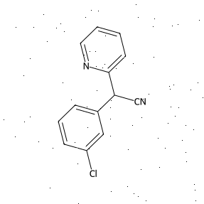 N#CC(c1cccc(Cl)c1)c1ccccn1